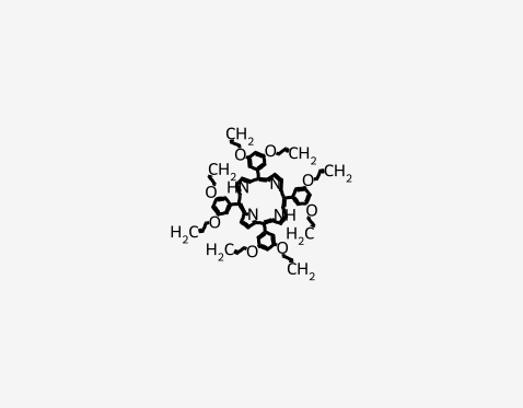 C=CCOc1cc(OCC=C)cc(-c2c3nc(c(-c4cc(OCC=C)cc(OCC=C)c4)c4ccc([nH]4)c(-c4cc(OCC=C)cc(OCC=C)c4)c4nc(c(-c5cc(OCC=C)cc(OCC=C)c5)c5ccc2[nH]5)C=C4)C=C3)c1